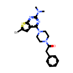 CCc1cc2c(N3CCN(C(=O)Cc4ccccc4)CC3)nc(N(C)C)nc2s1